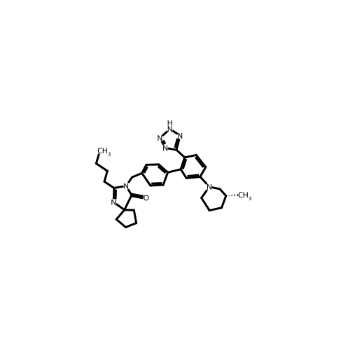 CCCCC1=NC2(CCCC2)C(=O)N1Cc1ccc(-c2cc(N3CCC[C@@H](C)C3)ccc2-c2nn[nH]n2)cc1